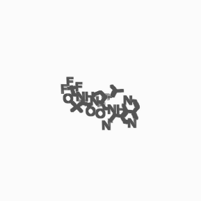 CC(C)=C[C@H]1CCN(C(=O)[C@@H](NC(=O)C(F)(F)F)C(C)(C)C)[C@@H]1C(=O)NC(C#N)c1cncc2ccncc12